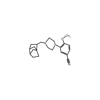 COc1ccc(C#N)cc1N1CCN(CC2CC3CC24CCC3C4)CC1